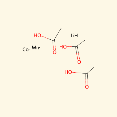 CC(=O)O.CC(=O)O.CC(=O)O.[Co].[LiH].[Mn]